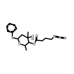 CC1OC(Sc2ccccc2)CC(C)(O)C1OC(=O)CCCN=[N+]=[N-]